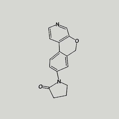 O=C1CCCN1c1ccc2c(c1)COc1cnccc1-2